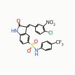 O=C1Nc2ccc(S(=O)(=O)Nc3ccc(C(F)(F)F)cc3)cc2C1=Cc1ccc(Cl)c([N+](=O)[O-])c1